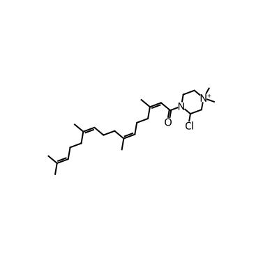 CC(C)=CCCC(C)=CCCC(C)=CCCC(C)=CC(=O)N1CC[N+](C)(C)CC1Cl